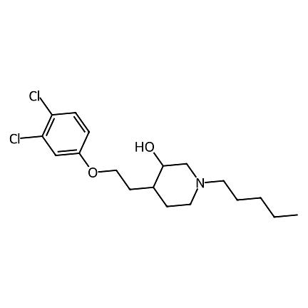 CCCCCN1CCC(CCOc2ccc(Cl)c(Cl)c2)C(O)C1